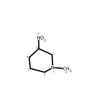 CN1CC[CH]C([N+](=O)[O-])C1